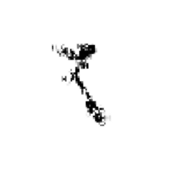 C=CC(=O)N1CCN(c2nc(NCCC(=O)N(C)CCOCCOCCOc3ccc4c(c3)C(=O)N(C3CCC(=O)NC3=O)C4=O)nc3c(F)c(C4=C(F)C=CC[C@@H]4O)c(Cl)cc23)CC1